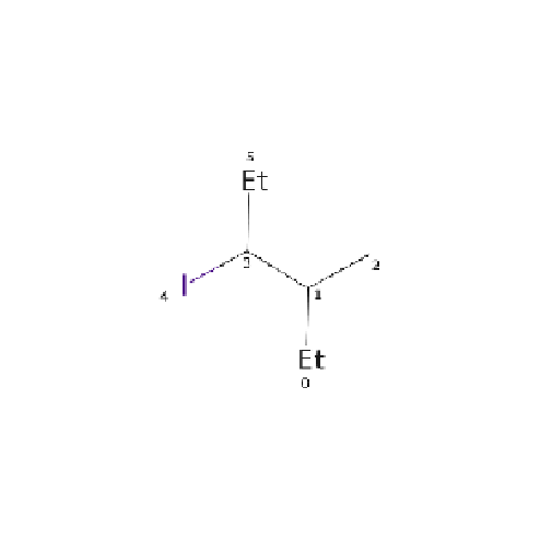 CCC(C)C(I)CC